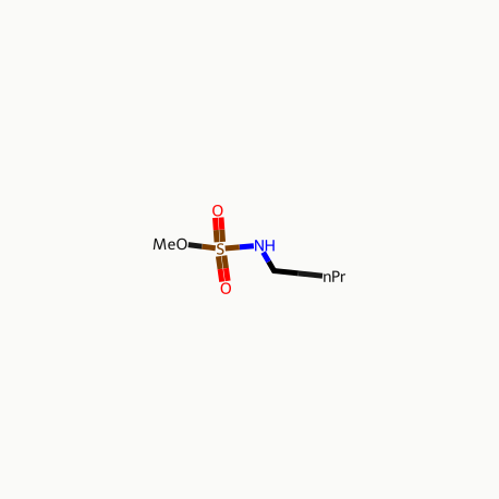 CCCCNS(=O)(=O)OC